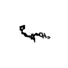 CCCc1nn(CCCN2CCCC2)cc1I